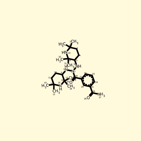 CC1(C)CCC(NN(NC2CCC(C)(C)NC2(C)C)C(=O)c2cccc(C(N)=O)c2)C(C)(C)N1